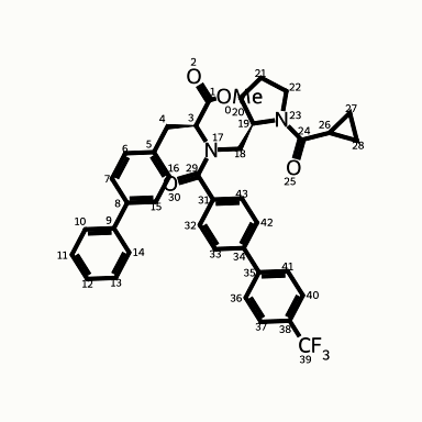 COC(=O)[C@H](Cc1ccc(-c2ccccc2)cc1)N(C[C@H]1CCCN1C(=O)C1CC1)C(=O)c1ccc(-c2ccc(C(F)(F)F)cc2)cc1